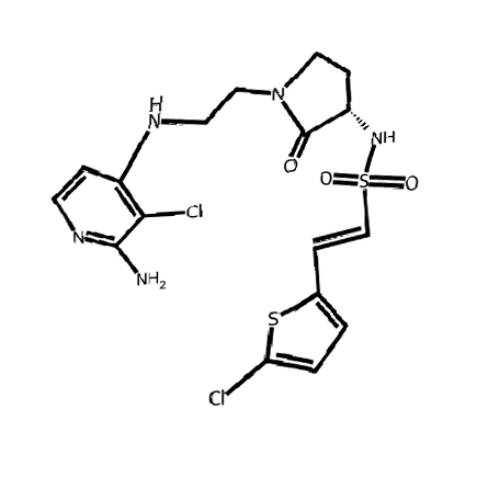 Nc1nccc(NCCN2CC[C@H](NS(=O)(=O)C=Cc3ccc(Cl)s3)C2=O)c1Cl